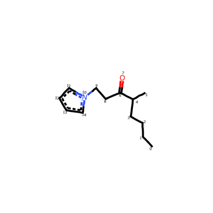 CCCCC(C)C(=O)CCn1cccc1